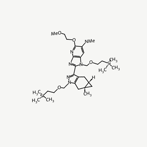 CNc1cc2c(nc1OCCOC)nc(-c1nn(COCC[Si](C)(C)C)c3c1C[C@@H]1C[C@]1(C)C3)n2COCC[Si](C)(C)C